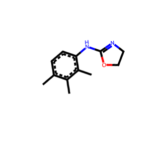 Cc1ccc(NC2=NCCO2)c(C)c1C